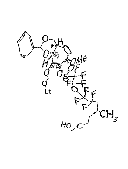 CCOCO[C@@H]1[C@H](OS(=O)(=O)C(F)(F)C(F)(F)OC(F)(F)C(F)(F)CC(C)CCC(=O)O)[C@H](OC)O[C@@H]2COC(c3ccccc3)O[C@@H]12